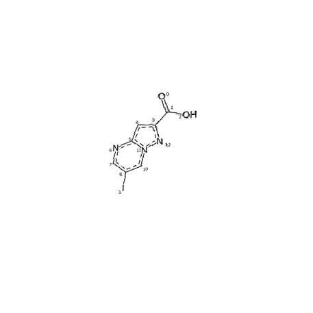 O=C(O)c1cc2ncc(I)cn2n1